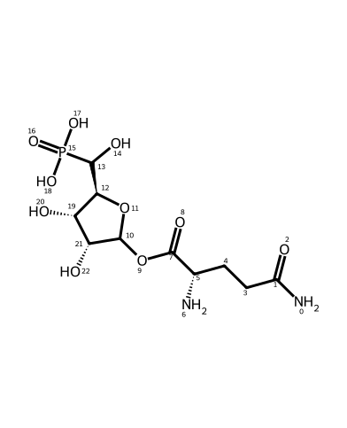 NC(=O)CC[C@H](N)C(=O)OC1O[C@H](C(O)P(=O)(O)O)[C@@H](O)[C@H]1O